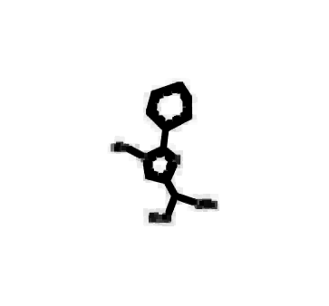 CCCCn1cc(C(OC)OC)nc1-c1ccccc1